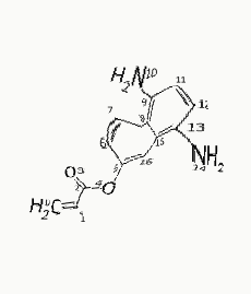 C=CC(=O)Oc1ccc2c(N)ccc(N)c2c1